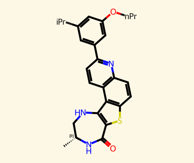 CCCOc1cc(-c2ccc3c(ccc4sc5c(c43)NC[C@@H](C)NC5=O)n2)cc(C(C)C)c1